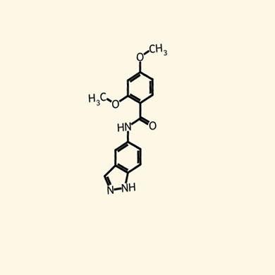 COc1ccc(C(=O)Nc2ccc3[nH]ncc3c2)c(OC)c1